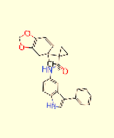 CC1(C2(C(=O)Nc3ccc4[nH]cc(-c5ccccc5)c4c3)CC2)C=CC2=C(C1)OCO2